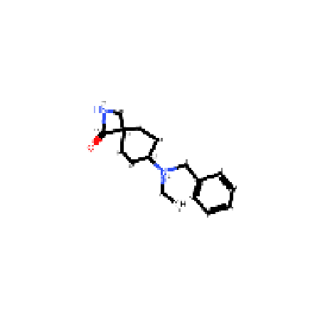 CCN(Cc1ccccc1)C1CCC2(CC1)CNC2=O